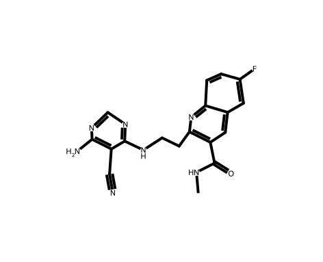 CNC(=O)c1cc2cc(F)ccc2nc1CCNc1ncnc(N)c1C#N